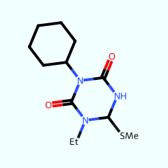 CCN1C(=O)N(C2CCCCC2)C(=O)NC1SC